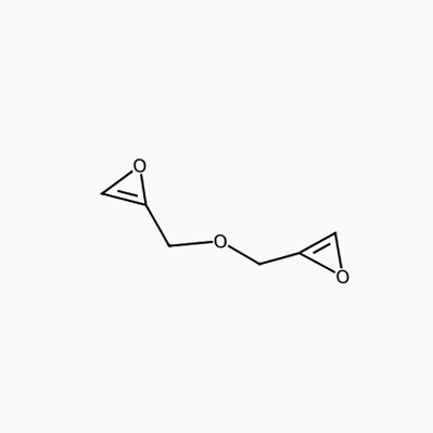 C1=C(COCC2=CO2)O1